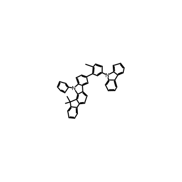 Cc1ccc(-n2c3ccccc3c3ccccc32)cc1-c1ccc2c(c1)c1ccc3c(c1n2-c1ccccc1)C(C)(C)c1ccccc1-3